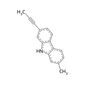 CC#Cc1ccc2c(c1)[nH]c1cc(C)ccc12